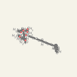 CCn1nc(C)cc1C(=O)N=c1n(C)c2cc(C(N)=O)ccc2n1CCC(CCn1c(=NC(=O)c2cc(C)nn2CC)n(C)c2cc(C(N)=O)ccc21)OCC(=O)NCCOCCOCCOCCOCCC(=O)NCCOCCOCCOCCNc1cccc2c1C(=O)N(C1CCC(=O)NC1=O)C2=O